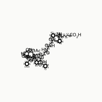 CC(=O)O[C@H]1C(=O)[C@@]2(C)[C@H]([C@H](OC(=O)c3ccccc3)[C@]3(O)C[C@H](OC(=O)[C@H](OC(=O)CCC(=O)NCC(=O)NCCC(=O)N4Cc5ccccc5-c5c(nnn5CCCCCC(=O)O)-c5ccccc54)C(NC(=O)c4ccccc4)c4ccccc4)C(C)=C1C3(C)C)[C@]1(OC(C)=O)CO[C@@H]1C[C@@H]2O